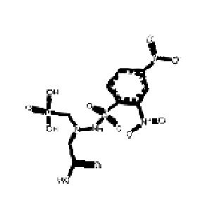 O=C(O)CN(CP(=O)(O)O)NS(=O)(=O)c1ccc([N+](=O)[O-])cc1[N+](=O)[O-]